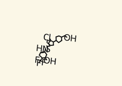 OCC1CCC(C2CC(SNC3=CCC(C(F)(F)F)C(O)C3)SC2Cl)CC1